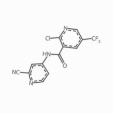 N#Cc1cc(NC(=O)c2cc(C(F)(F)F)cnc2Cl)ccn1